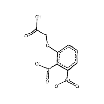 O=C(O)COc1cccc([N+](=O)[O-])c1[N+](=O)[O-]